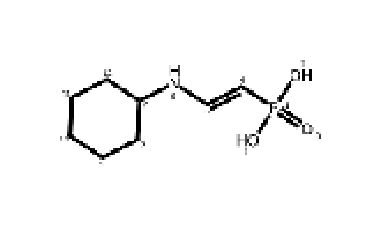 O=P(O)(O)/C=C/NC1CCCCC1